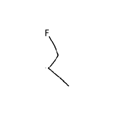 C[CH]CF